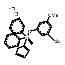 Cl.Cl.[CH2]=[Ti]([O]c1cc(OC)cc(C(C)(C)C)c1)([C]1=CC=CC1)([c]1ccccc1)[c]1ccccc1